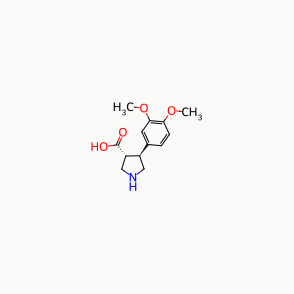 COc1ccc([C@H]2CNC[C@@H]2C(=O)O)cc1OC